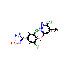 CC(C)c1cc(Oc2c(Cl)cc(/C(N)=N/O)cc2Cl)nnc1Cl